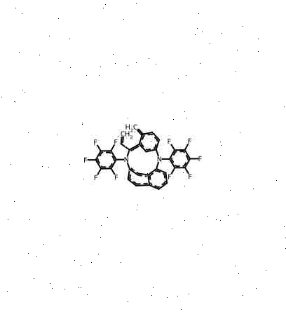 C=C/C1=c2/cc(ccc2=C)N(c2c(F)c(F)c(F)c(F)c2F)c2cccc3ccc(cc23)N1c1c(F)c(F)c(F)c(F)c1F